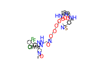 C=CC(=O)N1CCC(c2nc(NCCC(=O)N(C)CCOCCOCCOCCOCC(=O)N[C@H](C(=O)N3CCC[C@H]3C(=O)N[C@@H](C)c3ccc(-c4scnc4C)cc3)C(C)(C)C)nc3c(F)c(C4=C(F)C=CCC4OC)c(Cl)cc23)CC1